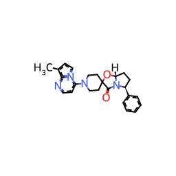 Cc1ccn2c(N3CCC4(CC3)O[C@@H]3CC[C@@H](c5ccccc5)N3C4=O)ccnc12